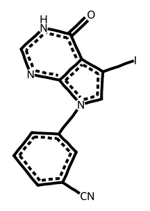 N#Cc1cccc(-n2cc(I)c3c(=O)[nH]cnc32)c1